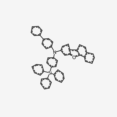 c1ccc(-c2ccc(N(c3ccc([Si](c4ccccc4)(c4ccccc4)c4ccccc4)cc3)c3ccc4c(c3)oc3c5ccccc5ccc43)cc2)cc1